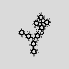 c1ccc(-c2ccc(N(c3ccc(-c4ccccc4)cc3)c3ccc4c(c3)Oc3cc(C5(c6ccccc6)c6ccccc6-c6ccccc65)ccc3O4)cc2)cc1